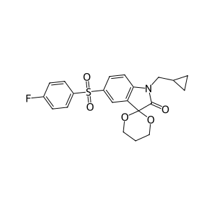 O=C1N(CC2CC2)c2ccc(S(=O)(=O)c3ccc(F)cc3)cc2C12OCCCO2